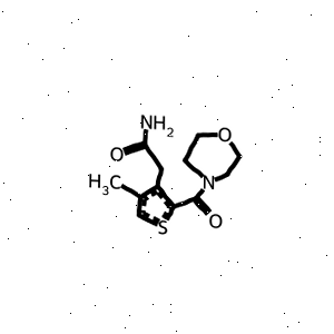 Cc1csc(C(=O)N2CCOCC2)c1CC(N)=O